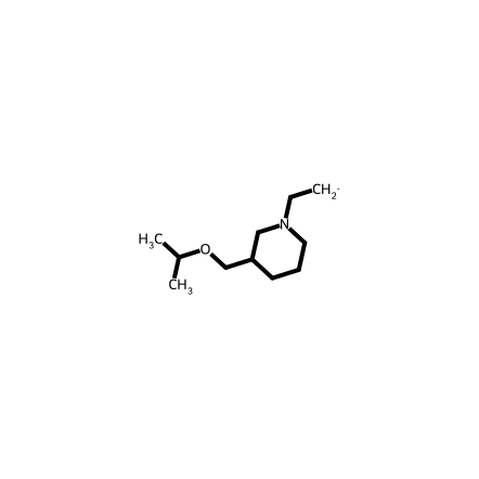 [CH2]CN1CCCC(COC(C)C)C1